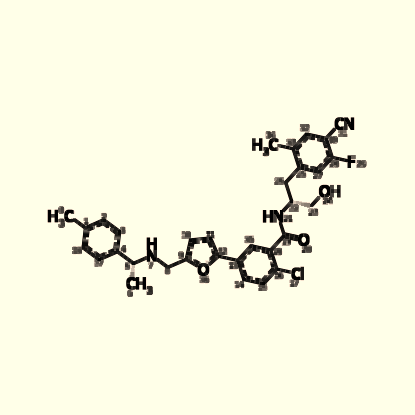 Cc1ccc([C@@H](C)NCc2ccc(-c3ccc(Cl)c(C(=O)N[C@@H](CO)Cc4cc(F)c(C#N)cc4C)c3)o2)cc1